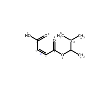 CC(OC(=O)/C=C\C(=O)O)N(C)C